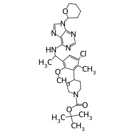 COc1c(C(C)Nc2ncnc3c2ncn3C2CCCCO2)cc(Cl)c(C)c1C1CCN(C(=O)OC(C)(C)C)CC1